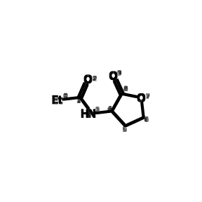 CCC(=O)NC1CCOC1=O